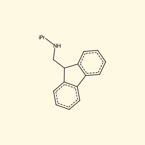 CC(C)NCC1c2ccccc2-c2ccccc21